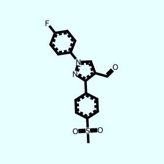 CS(=O)(=O)c1ccc(-c2nn(-c3ccc(F)cc3)cc2C=O)cc1